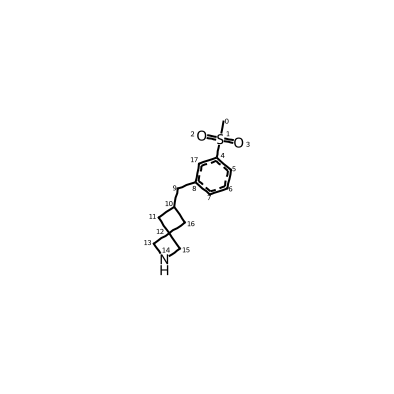 CS(=O)(=O)c1cccc(CC2CC3(CNC3)C2)c1